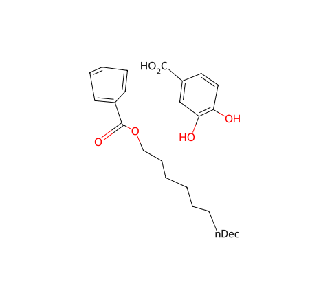 CCCCCCCCCCCCCCCCOC(=O)c1ccccc1.O=C(O)c1ccc(O)c(O)c1